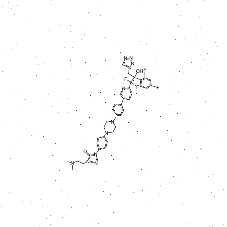 CN(C)CCn1ncn(-c2ccc(N3CCN(c4ccc(-c5ccc(C(F)(F)C(O)(Cn6cnnn6)c6ccc(F)cc6F)nc5)cc4)CC3)cc2)c1=O